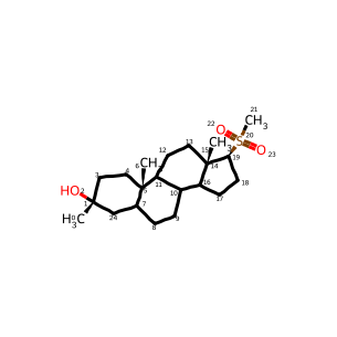 C[C@@]1(O)CC[C@@]2(C)C(CCC3C2CC[C@@]2(C)C3CC[C@@H]2S(C)(=O)=O)C1